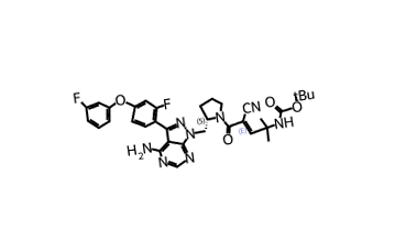 CC(C)(/C=C(\C#N)C(=O)N1CCC[C@H]1Cn1nc(-c2ccc(Oc3cccc(F)c3)cc2F)c2c(N)ncnc21)NC(=O)OC(C)(C)C